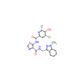 Cn1nc(CNC(=O)c2ncsc2NC(=O)c2cc(Cl)c(O)c(Cl)n2)c2ccccc21